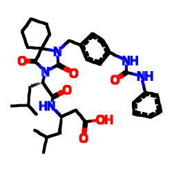 CC(C)C[C@H](CC(=O)O)NC(=O)[C@H](CC(C)C)N1C(=O)N(Cc2ccc(NC(=O)Nc3ccccc3)cc2)C2(CCCCC2)C1=O